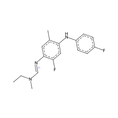 CCN(C)/C=N/c1cc(C)c(Nc2ccc(F)cc2)cc1F